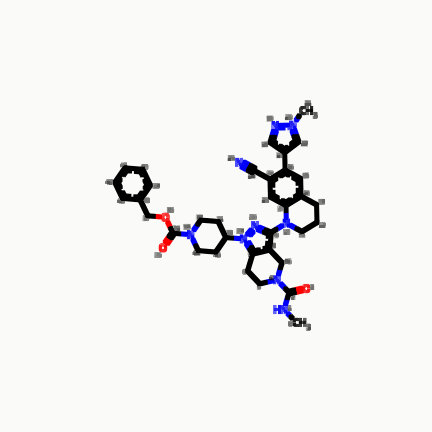 CNC(=O)N1CCc2c(c(N3CCCc4cc(-c5cnn(C)c5)c(C#N)cc43)nn2C2CCN(C(=O)OCc3ccccc3)CC2)C1